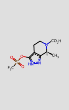 C[C@H]1c2n[nH]c(OS(=O)(=O)C(F)(F)F)c2CCN1C(=O)O